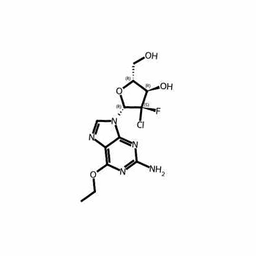 CCOc1nc(N)nc2c1ncn2[C@@H]1O[C@H](CO)[C@@H](O)[C@]1(F)Cl